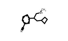 CNCC(CC1CCC1)c1cccc(C#N)c1